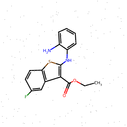 CCOC(=O)c1c(Nc2ccccc2N)sc2ccc(F)cc12